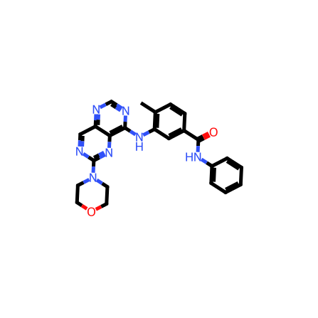 Cc1ccc(C(=O)Nc2ccccc2)cc1Nc1ncnc2cnc(N3CCOCC3)nc12